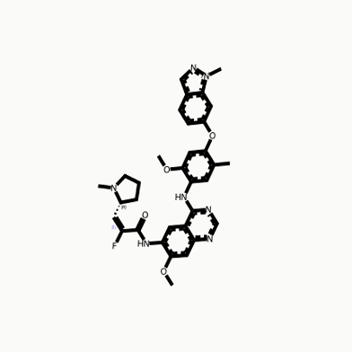 COc1cc2ncnc(Nc3cc(C)c(Oc4ccc5cnn(C)c5c4)cc3OC)c2cc1NC(=O)/C(F)=C\[C@H]1CCCN1C